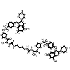 C[C@H](NC(=O)NCCCCNC(=O)N[C@@H](C)C(=O)N1CC[C@H](NS(=O)(=O)c2ccc(O[C@H]3c4cc(Cl)cc(C#N)c4C[C@@H]3N3CCNCC3)cc2)C1)C(=O)N1CC[C@H](NS(=O)(=O)c2ccc(O[C@H]3c4cc(Cl)cc(C#N)c4C[C@@H]3N3CCNCC3)cc2)C1